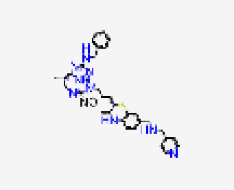 C=C1Nc2ccc(CNCc3ccncc3)cc2S/C1=C/CCN1/C=N/C(NCc2ccccc2)=N\C(N)=C(/C)C/N=C\1N=O